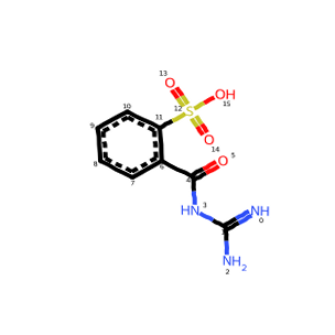 N=C(N)NC(=O)c1ccccc1S(=O)(=O)O